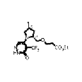 CCOC(=O)CCOC[C@@H]1C[C@H](C)CN1c1cn[nH]c(=O)c1C(F)(F)F